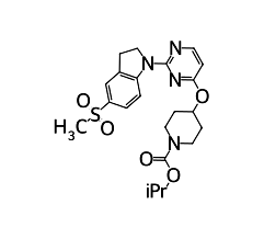 CC(C)OC(=O)N1CCC(Oc2ccnc(N3CCc4cc(S(C)(=O)=O)ccc43)n2)CC1